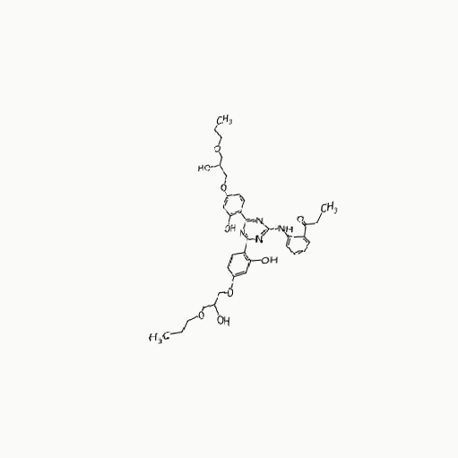 CCCOCC(O)COc1ccc(-c2nc(Nc3ccccc3C(=O)CC)nc(-c3ccc(OCC(O)COCCC)cc3O)n2)c(O)c1